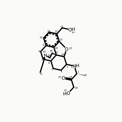 C[C@@H](NC1CCC2C3Cc4ccc(CO)c5c4[C@]2(CCN3C)C1O5)C(=O)CO